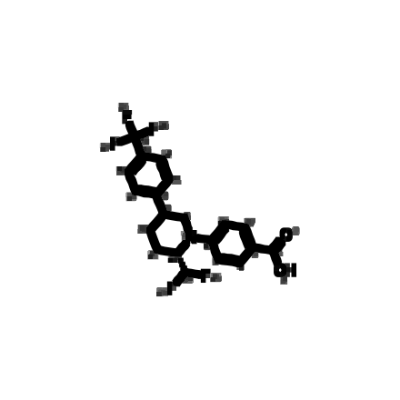 O=C(O)c1ccc(N2CC(c3ccc(C(F)(F)F)cc3)CC[C@H]2C(F)F)cc1